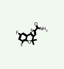 CC1(C)Oc2c(F)cc(F)cc2-c2sc(C(N)=O)cc21